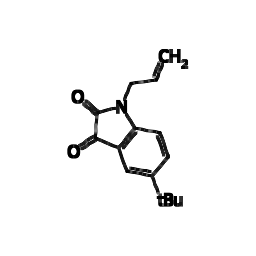 C=CCN1C(=O)C(=O)c2cc(C(C)(C)C)ccc21